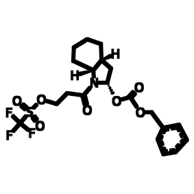 O=C(OCc1ccccc1)O[C@H]1C[C@H]2CCCC[C@H]2N1C(=O)CCOS(=O)(=O)C(F)(F)F